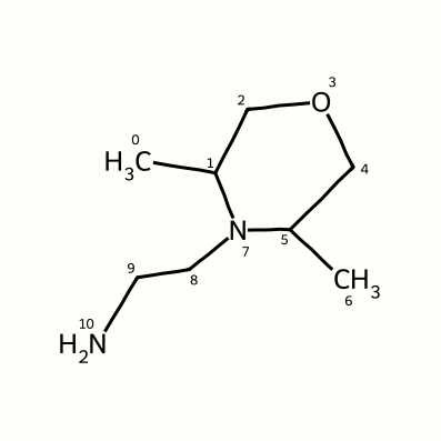 CC1COCC(C)N1CCN